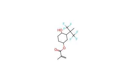 C=C(C)C(=O)OC1CCC(O)C(C(C)(C(F)(F)F)C(F)(F)F)C1